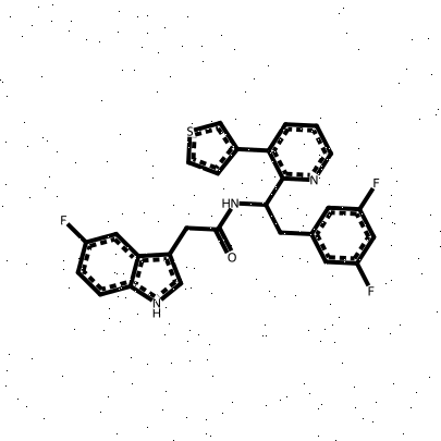 O=C(Cc1c[nH]c2ccc(F)cc12)NC(Cc1cc(F)cc(F)c1)c1ncccc1-c1ccsc1